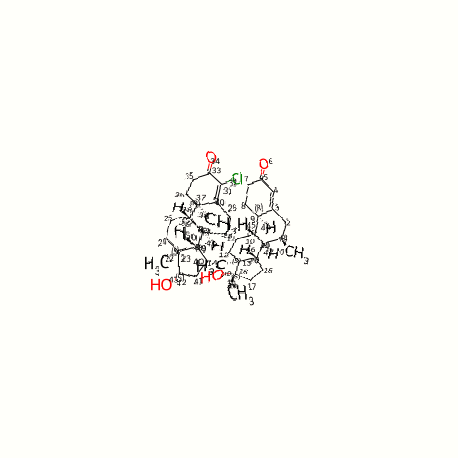 C[C@@H]1CC2=CC(=O)CC[C@@H]2[C@H]2CC[C@@]3(C)[C@@H](CC[C@]3(C)O)[C@@H]21.C[C@]12CC[C@H]3[C@@H](CCC4=C(Cl)C(=O)CC[C@@]43C)[C@@H]1CC[C@@H]2O